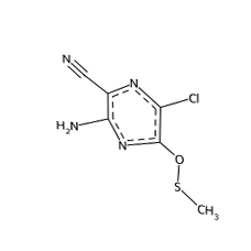 CSOc1nc(N)c(C#N)nc1Cl